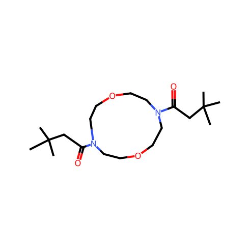 CC(C)(C)CC(=O)N1CCOCCN(C(=O)CC(C)(C)C)CCOCC1